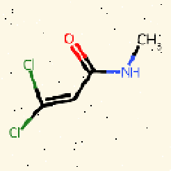 CNC(=O)C=C(Cl)Cl